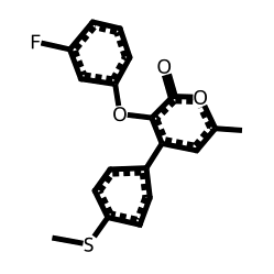 CSc1ccc(-c2cc(C)oc(=O)c2Oc2cccc(F)c2)cc1